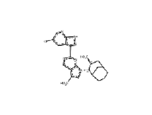 O=C(O)c1cn([C@H]2C3CCCC(C3)C[C@@H]2C(=O)O)c2nc(-c3c[nH]c4ncc(Cl)cc34)ncc12